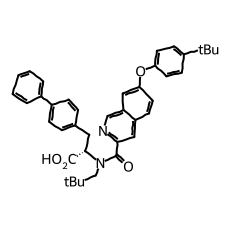 CC(C)(C)CN(C(=O)c1cc2ccc(Oc3ccc(C(C)(C)C)cc3)cc2cn1)[C@@H](Cc1ccc(-c2ccccc2)cc1)C(=O)O